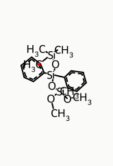 CO[Si](C)(OC)O[Si](O[Si](C)(C)C)(c1ccccc1)c1ccccc1